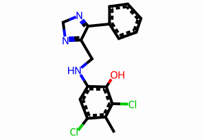 Cc1c(Cl)cc(NCC2=NCN=C2c2ccccc2)c(O)c1Cl